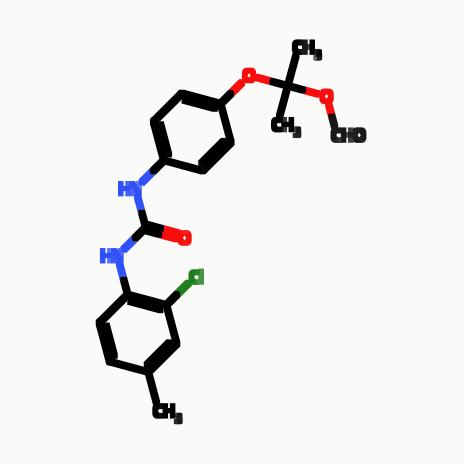 Cc1ccc(NC(=O)Nc2ccc(OC(C)(C)OC=O)cc2)c(Cl)c1